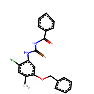 Cc1cc(Br)c(NC(=S)NC(=O)c2ccccc2)cc1OCc1ccccc1